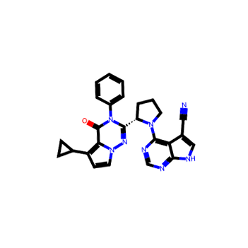 N#Cc1c[nH]c2ncnc(N3CCC[C@H]3c3nn4ccc(C5CC5)c4c(=O)n3-c3ccccc3)c12